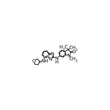 CN1C(=O)C(C)(C)c2ccc(Nc3nc4cccc(N[C@H]5CCOC5)n4n3)cc21